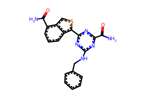 NC(=O)c1nc(NCc2ccccc2)nc(-c2scc3c(C(N)=O)cccc23)n1